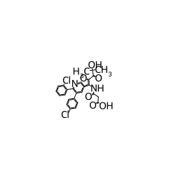 CC(C)(O)C(=O)c1oc2nc(-c3ccccc3Cl)c(-c3ccc(Cl)cc3)cc2c1NC(=O)CC(=O)O